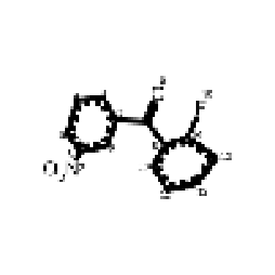 O=C(c1cccc([N+](=O)[O-])c1)c1ccccc1F